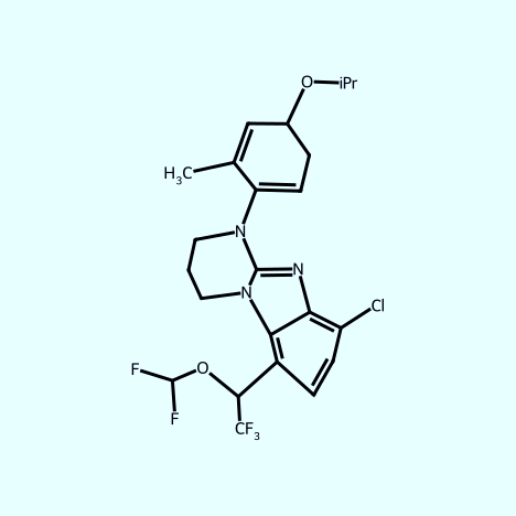 CC1=CC(OC(C)C)CC=C1N1CCCn2c1nc1c(Cl)ccc(C(OC(F)F)C(F)(F)F)c12